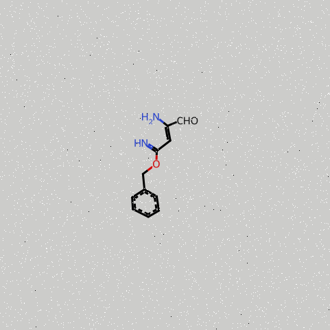 N=C(/C=C(\N)C=O)OCc1ccccc1